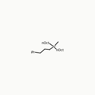 CCCCCCCC[N+](C)([CH]CCC(C)C)CCCCCCCC